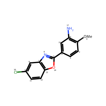 COc1ccc(-c2nc3cc(Cl)ccc3o2)cc1N